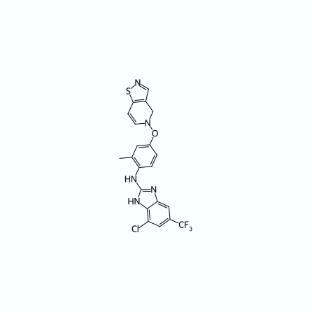 Cc1cc(ON2C=Cc3sncc3C2)ccc1Nc1nc2cc(C(F)(F)F)cc(Cl)c2[nH]1